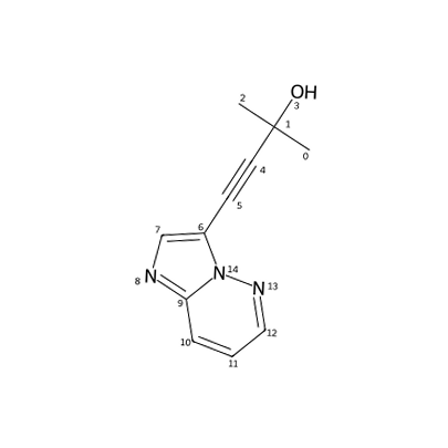 CC(C)(O)C#Cc1cnc2cccnn12